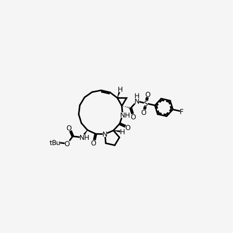 CC(C)(C)OC(=O)N[C@H]1CCCCC/C=C\[C@@H]2C[C@@]2(C(=O)NS(=O)(=O)c2ccc(F)cc2)NC(=O)[C@@H]2CCCN2C1=O